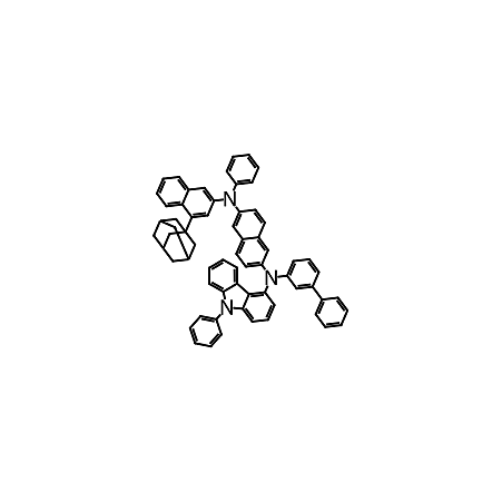 c1ccc(-c2cccc(N(c3ccc4cc(N(c5ccccc5)c5cc(C67CC8CC(CC(C8)C6)C7)c6ccccc6c5)ccc4c3)c3cccc4c3c3ccccc3n4-c3ccccc3)c2)cc1